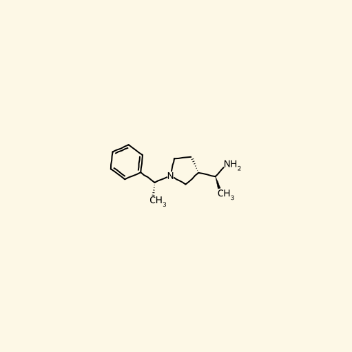 C[C@H](N)[C@H]1CCN([C@H](C)c2ccccc2)C1